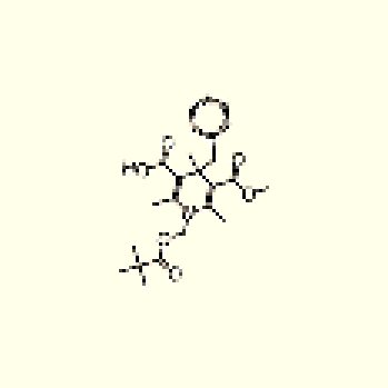 COC(=O)C1=C(C)N(COC(=O)C(C)(C)C)C(C)=C(C(=O)O)C1(C)Cc1ccccc1